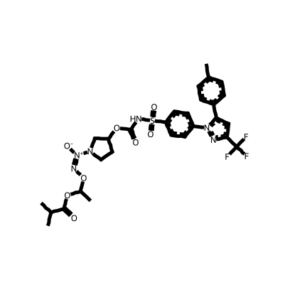 Cc1ccc(-c2cc(C(F)(F)F)nn2-c2ccc(S(=O)(=O)NC(=O)OC3CCN(/[N+]([O-])=N\OC(C)OC(=O)C(C)C)C3)cc2)cc1